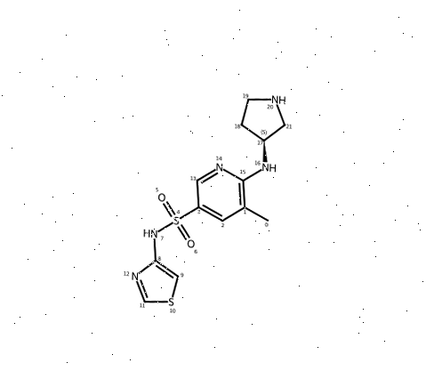 Cc1cc(S(=O)(=O)Nc2cscn2)cnc1N[C@H]1CCNC1